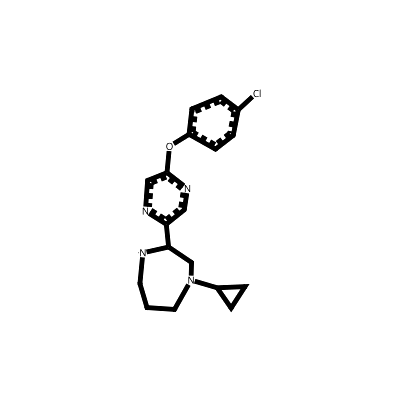 Clc1ccc(Oc2cnc(C3CN(C4CC4)CCC[N]3)cn2)cc1